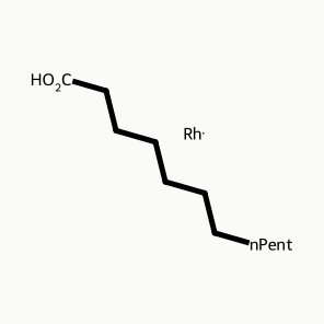 CCCCCCCCCCCC(=O)O.[Rh]